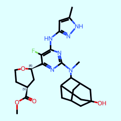 COC(=O)[C@H]1CCO[C@@H](c2nc(N(C)C3C4CC5CC3CC(O)(C5)C4)nc(Nc3cc(C)[nH]n3)c2F)C1